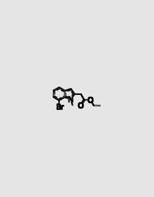 CCOC(=O)Cc1cc2cccc(Br)c2n1C